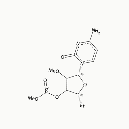 CC[C@H]1O[C@@H](n2ccc(N)nc2=O)C(OC)C1O[PH](=O)OC